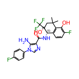 CC1(C)C[C@](O)(C(F)(F)F)[C@@H](NC(=O)c2ncn(-c3ccc(F)cc3)c2N)c2ccc(F)c(O)c21